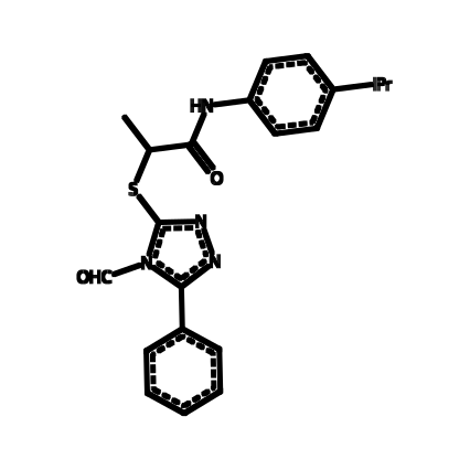 CC(Sc1nnc(-c2ccccc2)n1C=O)C(=O)Nc1ccc(C(C)C)cc1